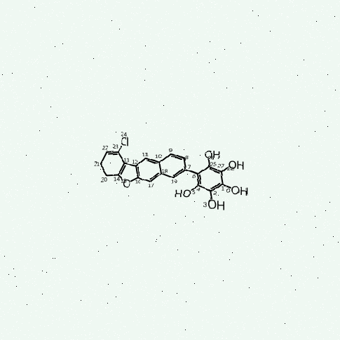 Oc1c(O)c(O)c(-c2ccc3cc4c5c(oc4cc3c2)CCC=C5Cl)c(O)c1O